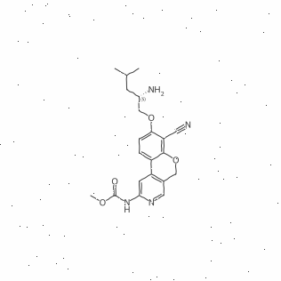 COC(=O)Nc1cc2c(cn1)COc1c-2ccc(OC[C@@H](N)CC(C)C)c1C#N